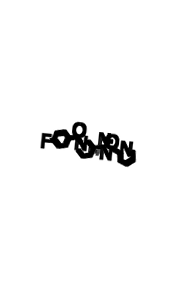 O=C(c1ccc(F)cc1)N1CCC[C@H](c2noc(-c3ccccn3)n2)C1